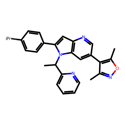 Cc1noc(C)c1-c1cnc2cc(-c3ccc(C(C)C)cc3)n(C(C)c3ccccn3)c2c1